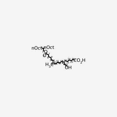 CCCCCCCCC(CCCCCCCC)COC(=O)CCCCCN(C)C/C=C/CN(CCO)CCCCCC(=O)O